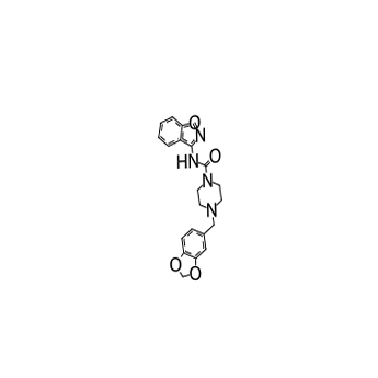 O=C(Nc1noc2ccccc12)N1CCN(Cc2ccc3c(c2)OCO3)CC1